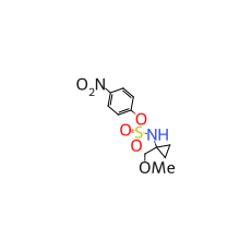 COCC1(NS(=O)(=O)Oc2ccc([N+](=O)[O-])cc2)CC1